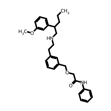 CCCC(CNCCc1cccc(COCC(=O)Nc2ccccc2)c1)c1cccc(OC)c1